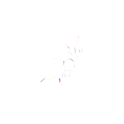 C=CCOC(=O)N1CC(CC2=C(C(=O)O)N3C(=O)[C@H]([C@@H](C)O)[C@H]3C2)C1